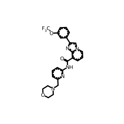 O=C(Nc1cccc(CN2CCOCC2)n1)c1cccn2cc(-c3cccc(OC(F)(F)F)c3)nc12